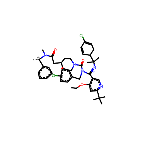 CCOc1cc(C(C)(C)C)ncc1/C(=N/C(C)(C)C1C=CC(Cl)=CC1)N(Cc1ccc(Cl)cc1)C(=O)N1CCC(CC(=O)N(C)[C@@H](C)c2ccccc2)CC1